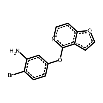 Nc1cc(Oc2nccc3occc23)ccc1Br